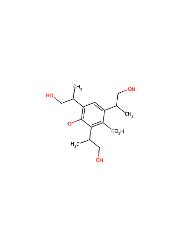 CC(CO)c1cc(C(C)CO)c(C(=O)O)c(C(C)CO)c1[O]